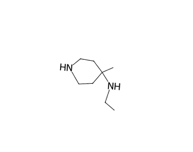 CCNC1(C)CCNCC1